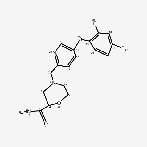 CNC(=O)C1CN(Cc2ccc(Oc3ccc(F)cc3F)cn2)CCO1